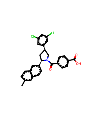 Cc1ccc2cc([C@H]3C[C@@H](c4cc(Cl)cc(Cl)c4)CN3C(=O)c3ccc(C(=O)O)cc3)ccc2c1